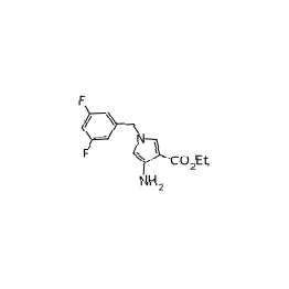 CCOC(=O)c1cn(Cc2cc(F)cc(F)c2)cc1N